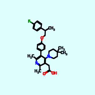 Cc1nc(C)c(-c2ccc(OCC(C)c3ccc(F)cc3)cc2)c(N2CCC(C)(C)CC2)c1CC(=O)O